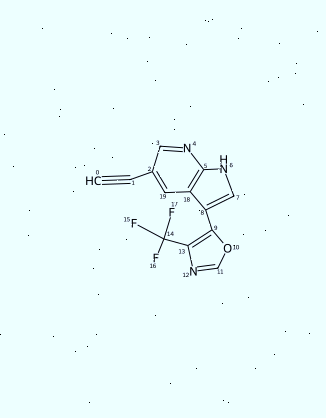 C#Cc1cnc2[nH]cc(-c3ocnc3C(F)(F)F)c2c1